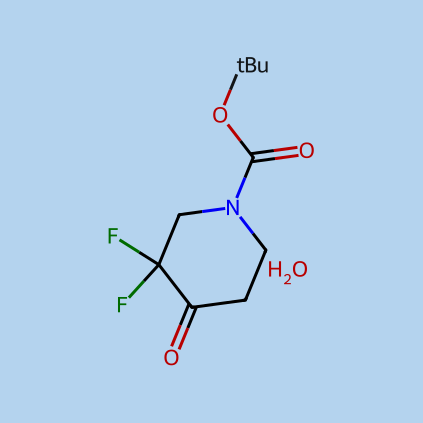 CC(C)(C)OC(=O)N1CCC(=O)C(F)(F)C1.O